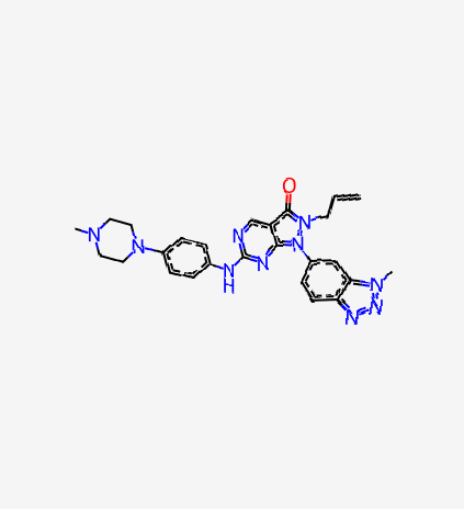 C=CCn1c(=O)c2cnc(Nc3ccc(N4CCN(C)CC4)cc3)nc2n1-c1ccc2nnn(C)c2c1